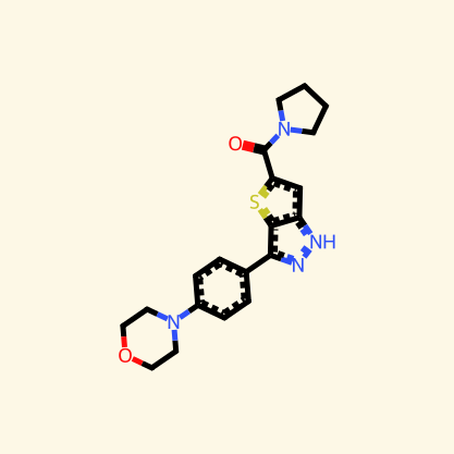 O=C(c1cc2[nH]nc(-c3ccc(N4CCOCC4)cc3)c2s1)N1CCCC1